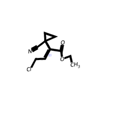 CCOC(=O)/C(=C/CCl)C1(C#N)CC1